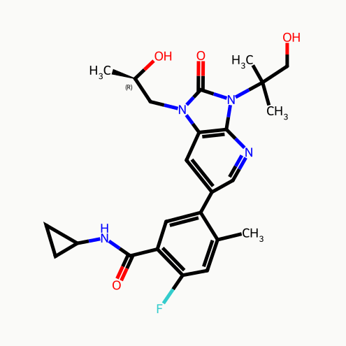 Cc1cc(F)c(C(=O)NC2CC2)cc1-c1cnc2c(c1)n(C[C@@H](C)O)c(=O)n2C(C)(C)CO